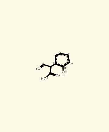 O=[C]C(C(=O)O)c1ccccc1O